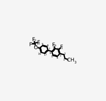 CCCc1ccc(-c2ccc(OC(F)(F)F)cc2)c(F)c1F